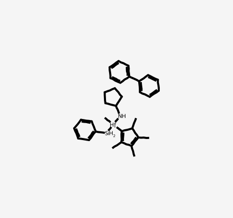 CC1=C(C)C(C)[C]([Hf]([CH3])([NH]C2CCCC2)[SiH2]c2ccccc2)=C1C.c1ccc(-c2ccccc2)cc1